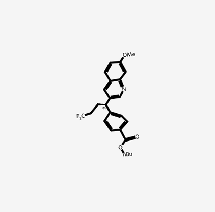 CCCCOC(=O)c1ccc([C@@H](CCC(F)(F)F)c2cnc3cc(OC)ccc3c2)cc1